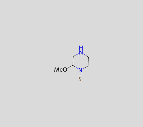 COC1CNCCN1[S]